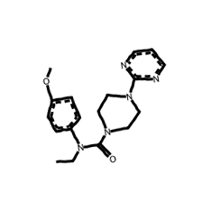 CCN(C(=O)N1CCN(c2ncccn2)CC1)c1ccc(OC)cc1